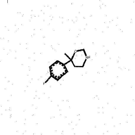 CC1(c2ccc(F)cc2)CCNCO1